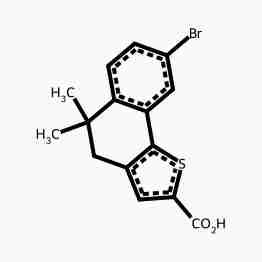 CC1(C)Cc2cc(C(=O)O)sc2-c2cc(Br)ccc21